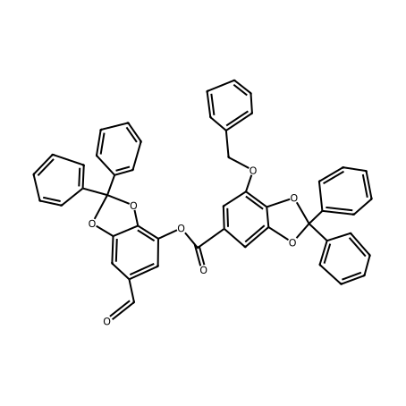 O=Cc1cc(OC(=O)c2cc(OCc3ccccc3)c3c(c2)OC(c2ccccc2)(c2ccccc2)O3)c2c(c1)OC(c1ccccc1)(c1ccccc1)O2